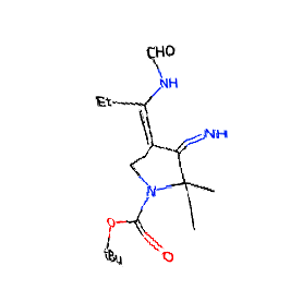 CC/C(NC=O)=C1\CN(C(=O)OC(C)(C)C)C(C)(C)C1=N